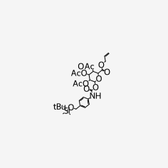 C=CCOC(=O)C1OC(OC(=O)Nc2ccc(CO[Si](C)(C)C(C)(C)C)cc2)C(OC(C)=O)C(OC(C)=O)C1OC(C)=O